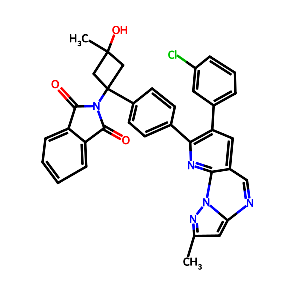 Cc1cc2ncc3cc(-c4cccc(Cl)c4)c(-c4ccc(C5(N6C(=O)c7ccccc7C6=O)CC(C)(O)C5)cc4)nc3n2n1